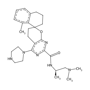 Cc1cccc2c1C1(CCC2)CCc2c(nc(C(=O)N[C@H](C)CN(C)C)nc2N2CCNCC2)O1